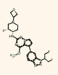 COc1nc(N[C@H]2CCN(C3COC3)C[C@H]2F)nn2ccc(-c3ccc4nnn(C(CF)CF)c4c3)c12